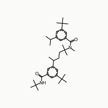 CC(C)c1cc(C(=O)N(C)C(C)(C)CCC(C)c2cc(C(=O)NC(C)(C)C)cc(C(C)(C)C)c2)cc(C(C)(C)C)c1